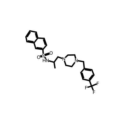 CC(CN1CCN(Cc2ccc(C(F)(F)F)cc2)CC1)NS(=O)(=O)c1ccc2ccccc2c1